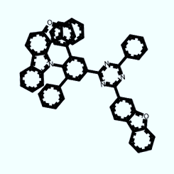 c1ccc(-c2nc(-c3cc(-c4ccccc4)c(-n4c5ccccc5c5ccc6oc7ccccc7c6c54)c(-c4ccccc4)c3)nc(-c3ccc4c(c3)oc3ccccc34)n2)cc1